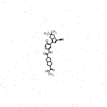 CNC(=O)C1CC2CC(C(=O)Nc3cc(-c4cc(C#N)n5c4CC(C)(C)C5)c(Cl)cn3)CC2C1